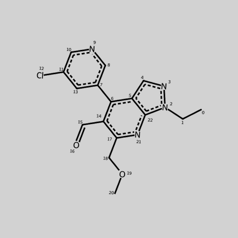 CCn1ncc2c(-c3cncc(Cl)c3)c(C=O)c(COC)nc21